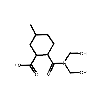 CC1CCC(C(=O)N(CO)CO)C(C(=O)O)C1